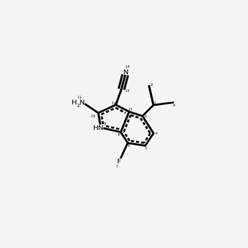 CC(C)c1ccc(F)c2[nH]c(N)c(C#N)c12